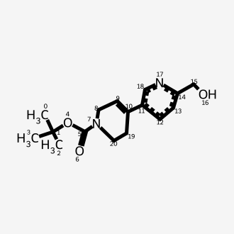 CC(C)(C)OC(=O)N1CC=C(c2ccc(CO)nc2)CC1